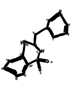 O=S1(=O)NC(Cc2ccccc2)Nc2ccccc21